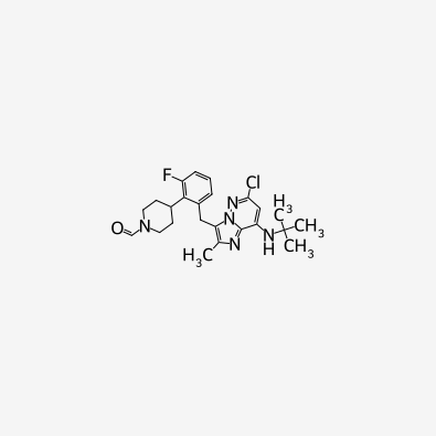 Cc1nc2c(NC(C)(C)C)cc(Cl)nn2c1Cc1cccc(F)c1C1CCN(C=O)CC1